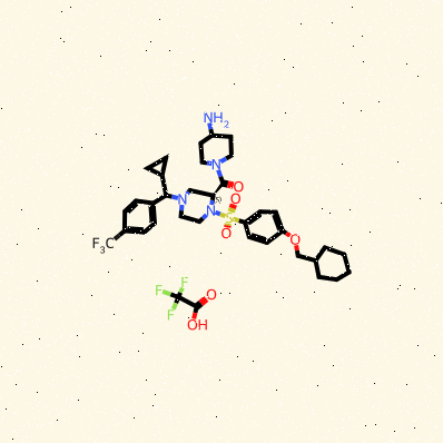 NC1CCN(C(=O)[C@@H]2CN(C(c3ccc(C(F)(F)F)cc3)C3CC3)CCN2S(=O)(=O)c2ccc(OCC3CCCCC3)cc2)CC1.O=C(O)C(F)(F)F